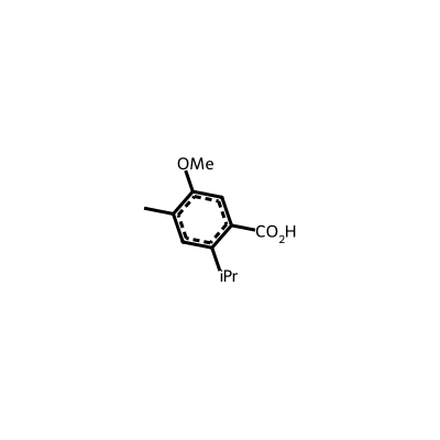 COc1cc(C(=O)O)c(C(C)C)cc1C